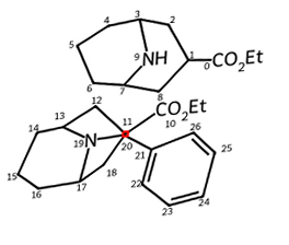 CCOC(=O)C1CC2CCCC(C1)N2.CCOC(=O)C1CC2CCCC(C1)N2Cc1ccccc1